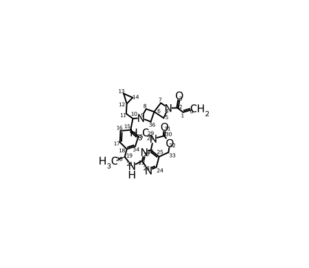 C=CC(=O)N1CC2(C1)CN(C(CC1CC1)c1ccc([C@H](C)Nc3ncc4c(n3)N(C)C(=O)OC4)cc1)C2